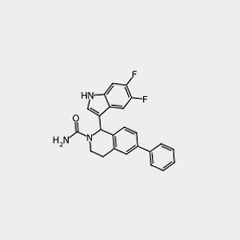 NC(=O)N1CCc2cc(-c3ccccc3)ccc2C1c1c[nH]c2cc(F)c(F)cc12